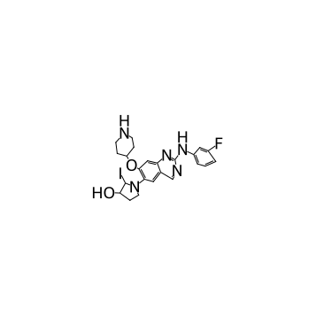 OC1CCN(c2cc3cnc(Nc4cccc(F)c4)nc3cc2OC2CCNCC2)C1I